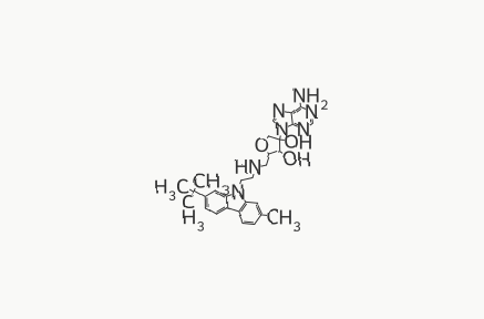 Cc1ccc2c3ccc(C(C)(C)C)cc3n(CCNCC3OCC(O)(n4cnc5c(N)ncnc54)C3O)c2c1